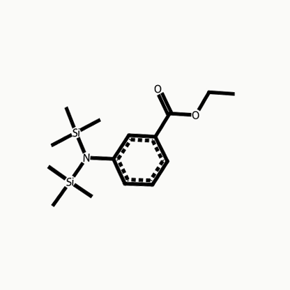 CCOC(=O)c1cccc(N([Si](C)(C)C)[Si](C)(C)C)c1